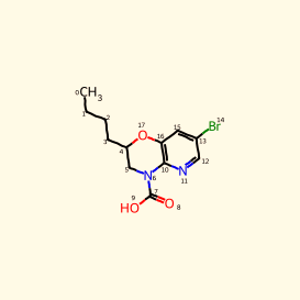 CCCCC1CN(C(=O)O)c2ncc(Br)cc2O1